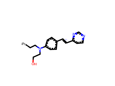 CC(C)CCN(CCO)c1ccc(/C=C/c2ccncn2)cc1